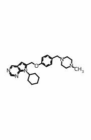 CN1CCN(Cc2ccc(OCc3cc4cncnc4n3C3CCCCC3)cc2)CC1